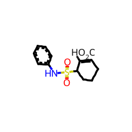 O=C(O)C1=CCCCC1S(=O)(=O)Nc1ccccc1